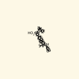 C=C(C)[C@@H]1CC[C@]2(NCCN3CCS(=O)(=O)CC3)CC[C@]3(C)C(CCC4[C@@]5(C)CC=C(C6=CCC(COc7cnnn7-c7ccccc7)(C(=O)O)CC6)C(C)(C)C5CC[C@]43C)C12